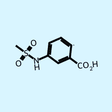 CS(=O)(=O)Nc1cc[c]c(C(=O)O)c1